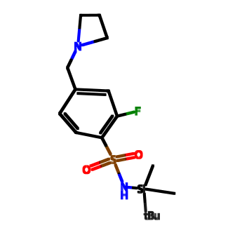 CC(C)(C)[Si](C)(C)NS(=O)(=O)c1ccc(CN2CCC2)cc1F